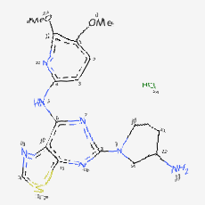 COc1ccc(Nc2nc(N3CCC(N)C3)nc3scnc23)nc1OC.Cl